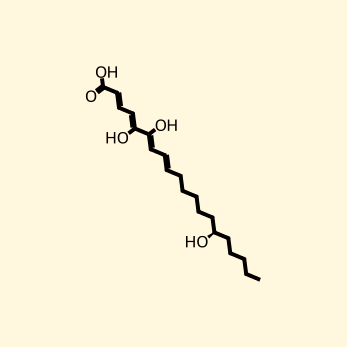 CCCCC[C@@H](O)CCCCCC=CC=C(O)C(O)=CC=CC(=O)O